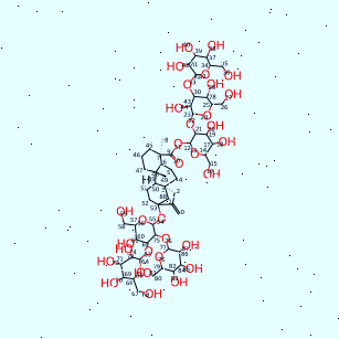 C=C1C[C@@]23CCC4[C@](C)(C(=O)OC5OC(CO)C(O)C(O)C5OC5OC(CO)C(O)C(OC6OC(CO)C(O)C(O)C6O)C5O)CCC[C@@]4(C)[C@@H]2CCC1(OC1OC(CO)C(O)C(OC2OC(CO)C(O)C(O)C2O)C1OC1OC(CO)C(O)C(O)C1O)C3